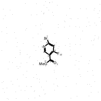 COC(=O)c1cnc(Br)cc1F